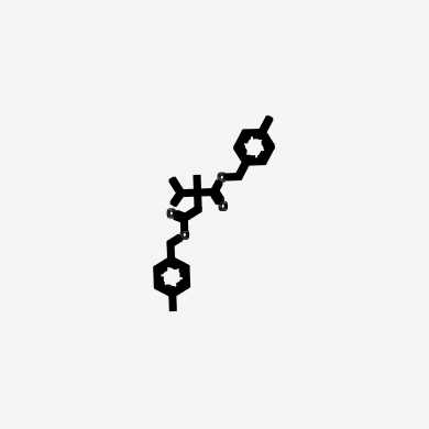 Cc1ccc(COC(=O)CC(C)(C(=O)OCc2ccc(C)cc2)C(C)C)cc1